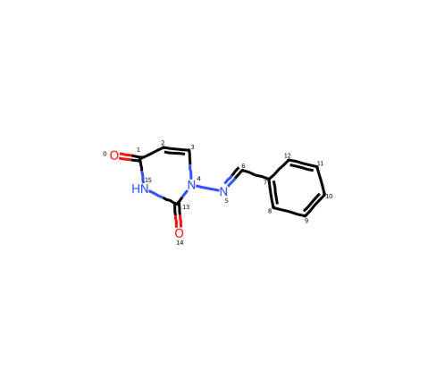 O=c1ccn(N=Cc2ccccc2)c(=O)[nH]1